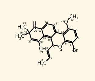 CC=CC1Oc2c(Br)ccc(OC)c2-c2ccc3c(c21)C(C)=CC(C)(C)N3